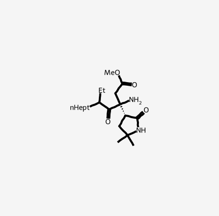 CCCCCCCC(CC)C(=O)C(N)(CC(=O)OC)[C@H]1CC(C)(C)NC1=O